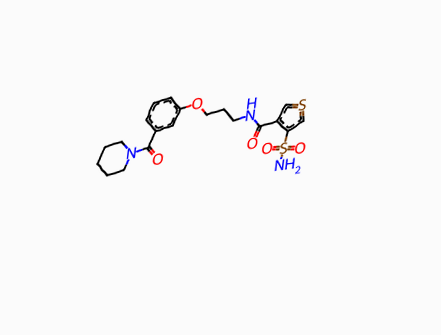 NS(=O)(=O)c1cscc1C(=O)NCCCOc1cccc(C(=O)N2CCCCC2)c1